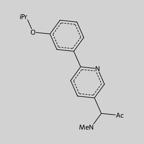 CNC(C(C)=O)c1ccc(-c2cccc(OC(C)C)c2)nc1